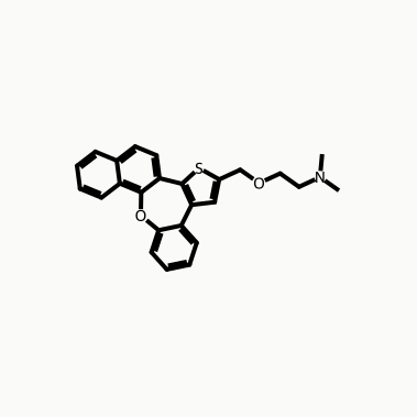 CN(C)CCOCc1cc2c(s1)-c1ccc3ccccc3c1Oc1ccccc1-2